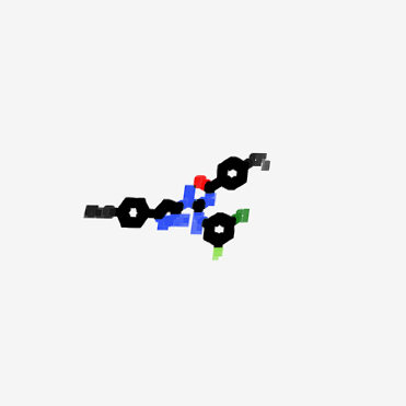 COc1ccc(-c2cc(N/C(=N\C(=O)c3ccc(C(F)(F)F)cc3)Nc3cc(F)cc(Cl)c3)[nH]n2)cc1